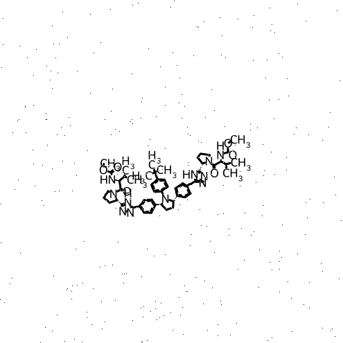 COC(=O)N[C@H](C(=O)N1CCC[C@H]1c1nnc(-c2ccc([C@@H]3CC[C@@H](c4ccc(-c5nnc([C@@H]6CCCN6C(=O)[C@@H](NC(=O)OC)C(C)C)[nH]5)cc4)N3c3ccc(C(C)(C)C)cc3)cc2)[nH]1)C(C)C